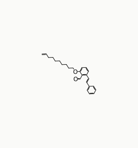 C=CCCCCCCCCOc1cccc(C=Cc2ccccc2)c1C=O